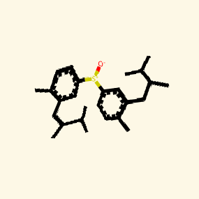 Cc1ccc([S+]([O-])c2ccc(C)c(CC(C)C(C)C)c2)cc1CC(C)C(C)C